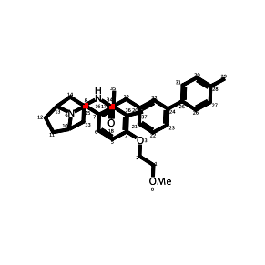 COCCOc1ccc(CN2C3CCC2CC(NC(=O)Cc2cccc(-c4ccc(C)cc4)c2)C3)c(C)c1C